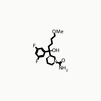 COCCCC[C@@](O)(c1cc(F)cc(F)c1)[C@@H]1CCCN(C(N)=O)C1